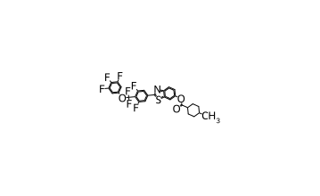 CC1CCC(C(=O)Oc2ccc3nc(-c4cc(F)c(C(F)(F)Oc5cc(F)c(F)c(F)c5)c(F)c4)sc3c2)CC1